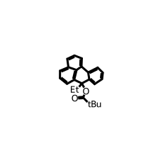 CCC1(OC(=O)C(C)(C)C)c2ccccc2-c2cccc3cccc1c23